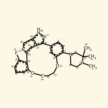 CN1CCN(c2ccc3cc2OCCCOc2cccc(F)c2-c2cc4c-3n[nH]c4cn2)CC1(C)C